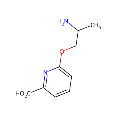 CC(N)COc1cccc(C(=O)O)n1